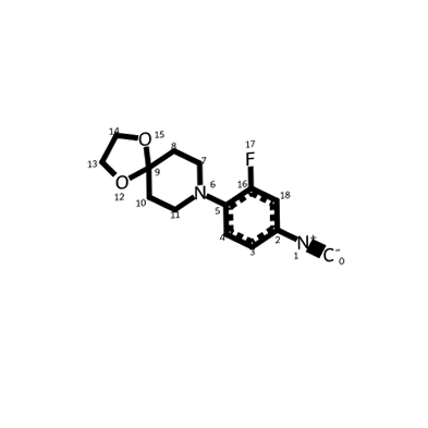 [C-]#[N+]c1ccc(N2CCC3(CC2)OCCO3)c(F)c1